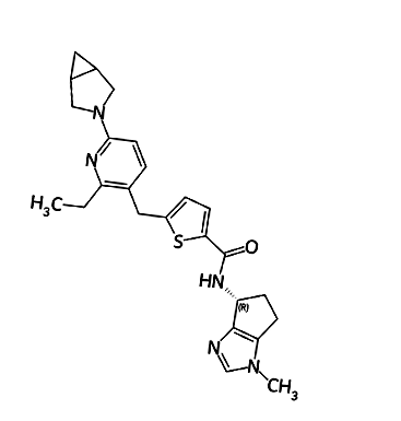 CCc1nc(N2CC3CC3C2)ccc1Cc1ccc(C(=O)N[C@@H]2CCc3c2ncn3C)s1